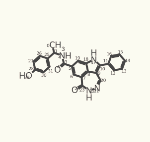 CC(NC(=O)c1cc2c3c(c(-c4ccccc4)[nH]c3c1)C=NNC2=O)c1ccc(O)cc1